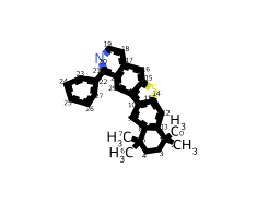 CC1(C)CCC(C)(C)c2cc3c(cc21)sc1cc2ccnc(-c4ccccc4)c2cc13